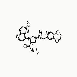 COc1ccc2nccc(N3C[C@H](NCc4cc5c(cn4)OCCO5)C[C@H]3C(N)=O)c2n1